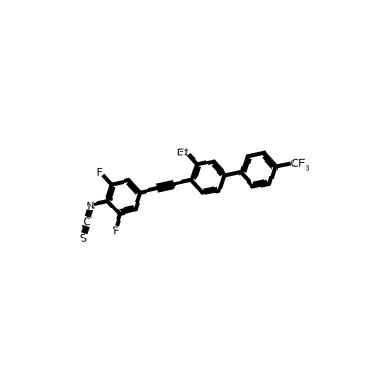 CCc1cc(-c2ccc(C(F)(F)F)cc2)ccc1C#Cc1cc(F)c(N=C=S)c(F)c1